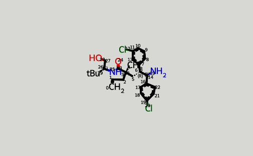 C=CC[C@@](C)(C[C@H](c1cccc(Cl)c1)[C@@H](N)c1ccc(Cl)cc1)C(=O)N[C@H](CO)C(C)(C)C